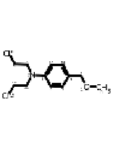 COCc1ccc(N(CCCl)CCCl)cc1